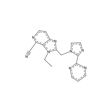 CCn1c(Cn2ccnc2-c2ncccn2)nc2ccnc(C#N)c21